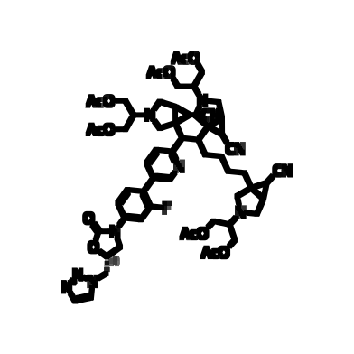 CC(=O)OCC(COC(C)=O)N1CC2C(C#N)C2(CCCCC(C(c2ccc(-c3ccc(N4C[C@H](Cn5ccnn5)OC4=O)cc3F)cn2)C23CN(C(COC(C)=O)COC(C)=O)CC2C3C#N)C23CN(C(COC(C)=O)COC(C)=O)CC2C3C#N)C1